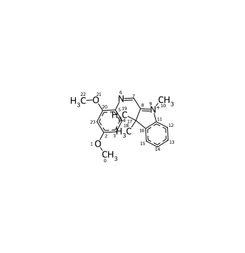 COc1ccc(/N=C\C2=[N+](C)c3ccccc3C2(C)C)c(OC)c1